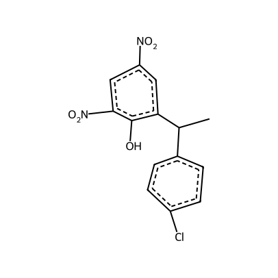 CC(c1ccc(Cl)cc1)c1cc([N+](=O)[O-])cc([N+](=O)[O-])c1O